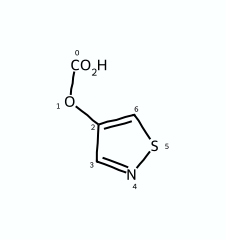 O=C(O)Oc1cnsc1